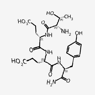 C[C@@H](O)[C@H](N)C(=O)N[C@@H](CCC(=O)O)C(=O)N[C@@H](CCC(=O)O)C(=O)N[C@@H](Cc1ccc(O)cc1)C(N)=O